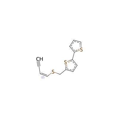 C#C/C=C\SCc1ccc(-c2cccs2)s1